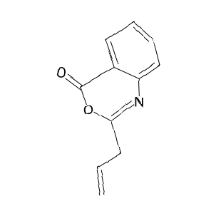 C=CCc1nc2ccccc2c(=O)o1